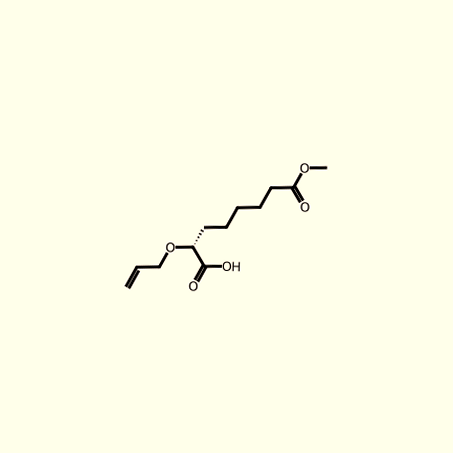 C=CCO[C@H](CCCCCC(=O)OC)C(=O)O